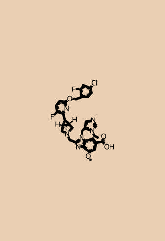 CCn1cncc1Cn1c(CN2C[C@@H]3C(c4nc(OCc5ccc(Cl)cc5F)ccc4F)[C@@H]3C2)nc2c(OC)cc(C(=O)O)cc21